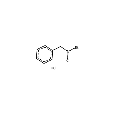 CCN(Cl)Cc1ccccc1.Cl